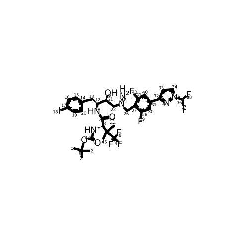 CC(C)(C)OC(=O)N[C@H](C(=O)N[C@@H](Cc1ccc(I)cc1)[C@@H](O)CN(N)Cc1c(F)cc(-c2ccn(C(F)F)n2)cc1F)C(C)(C)C(F)(F)F